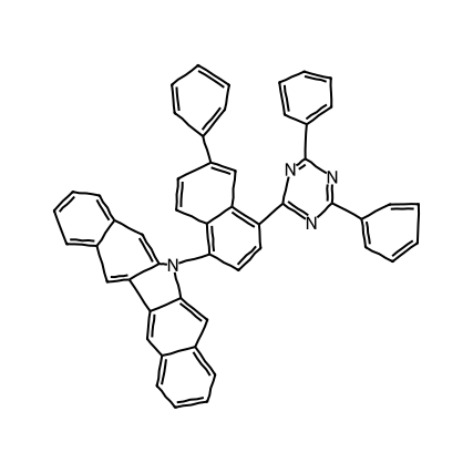 c1ccc(-c2ccc3c(-n4c5cc6ccccc6cc5c5cc6ccccc6cc54)ccc(-c4nc(-c5ccccc5)nc(-c5ccccc5)n4)c3c2)cc1